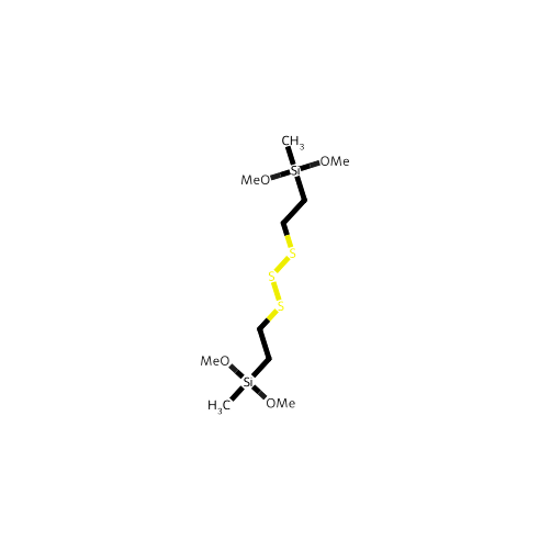 CO[Si](C)(CCSSSCC[Si](C)(OC)OC)OC